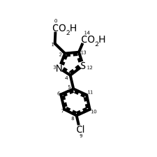 O=C(O)Cc1nc(-c2ccc(Cl)cc2)sc1C(=O)O